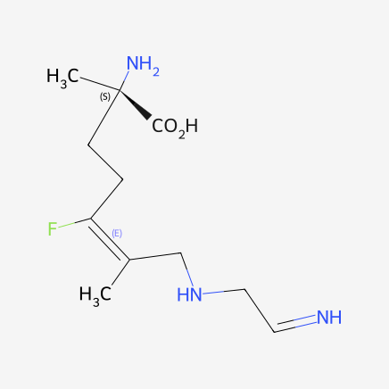 C/C(CNCC=N)=C(\F)CC[C@](C)(N)C(=O)O